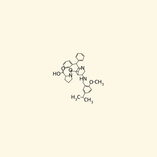 COc1ccc(C(C)C)cc1CNC1CN2CCC1C(C(=O)N1CCCC1C(=O)O)C2C(c1ccccc1)c1ccccc1